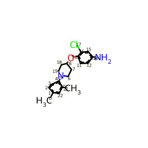 Cc1ccc(N2CCC(Oc3ccc(N)cc3Cl)CC2)c(C)c1